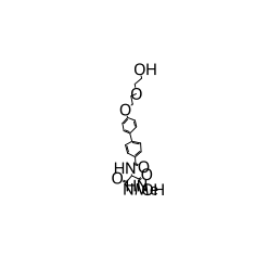 CNC(=O)C(NC(=O)c1ccc(-c2ccc(OCCOCCO)cc2)cc1)C(=O)NO